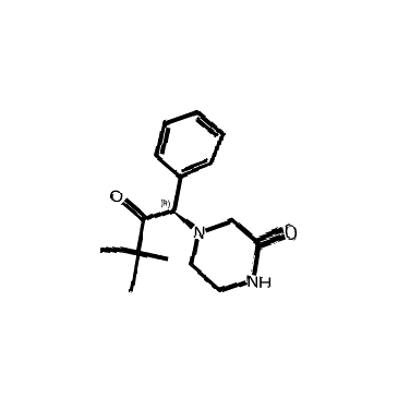 CC(C)(C)C(=O)[C@@H](c1ccccc1)N1CCNC(=O)C1